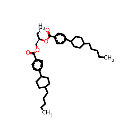 CCCCCC1CCC(c2ccc(C(=O)OC[C@@H](CC)OC(=O)c3ccc(C4CCC(CCCCC)CC4)cc3)cc2)CC1